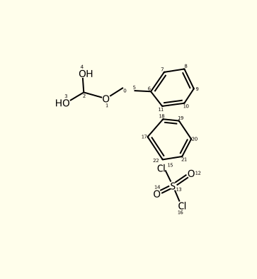 COC(O)O.Cc1ccccc1.O=S(=O)(Cl)Cl.c1ccccc1